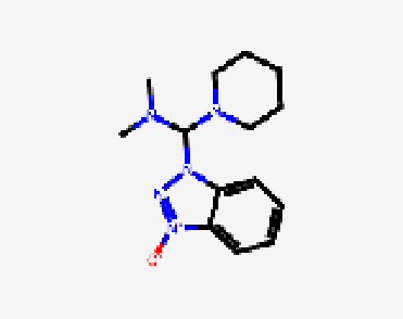 CN(C)C(N1CCCCC1)n1n[n+]([O-])c2ccccc21